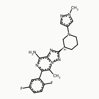 Cc1c(-c2cc(F)ccc2F)nc(N)c2nc([C@@H]3CCCN(c4cnn(C)c4)C3)nn12